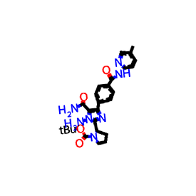 Cc1ccc(NC(=O)c2ccc(-c3nc(C4CCCN4C(=O)OC(C)(C)C)n(N)c3C(N)=O)cc2)nc1